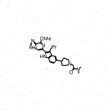 COc1nc(-c2[nH]c3ccc(C4CCN(CC(=O)N(C)C)CC4)cc3c2C(C)C)cn2ncnc12